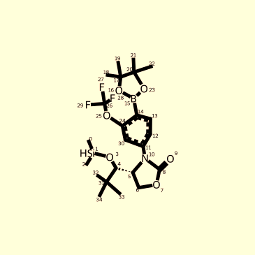 C[SiH](C)OC([C@H]1COC(=O)N1c1ccc(B2OC(C)(C)C(C)(C)O2)c(OC(F)(F)F)c1)C(C)(C)C